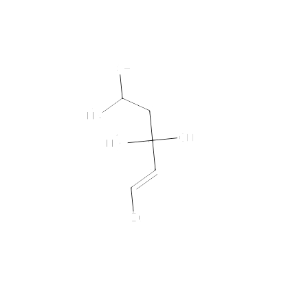 CCC=CC(C)(C)CC(C)S